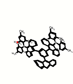 Cc1cc(C)c(N(c2c(C)cc(C)cc2C)c2c3ccccc3c(-c3cc(-c4c5ccccc5cc5ccccc45)cc(-c4c5ccccc5c(N(c5c(C)cc(C)cc5C)c5c(C)cc(C)cc5C)c5ccccc45)c3)c3ccccc23)c(C)c1